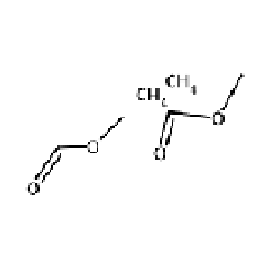 C.C.COC=O.COC=O